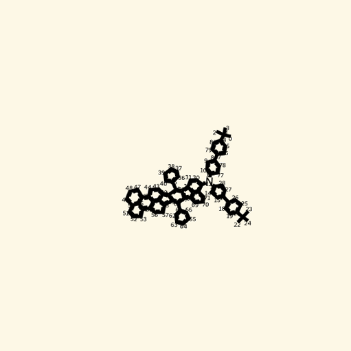 CC(C)(C)c1ccc(-c2ccc(N(c3ccc(-c4ccc(C(C)(C)C)cc4)cc3)c3ccc4c5c(-c6ccccc6)c6c7ccc8c9cccc%10cccc(c%11ccc(c6c(-c6ccccc6)c5c5cccc3c54)c7c%118)c%109)cc2)cc1